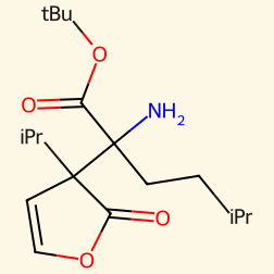 CC(C)CCC(N)(C(=O)OC(C)(C)C)C1(C(C)C)C=COC1=O